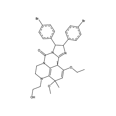 CCOC1=CC(C)(OC)C2=C3N(CCN2CCO)C(=O)N2C(=NC(c4ccc(Br)cc4)C2c2ccc(Br)cc2)C13C